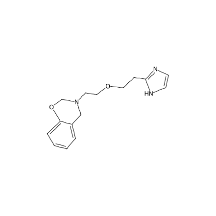 c1ccc2c(c1)CN(CCOCCc1ncc[nH]1)CO2